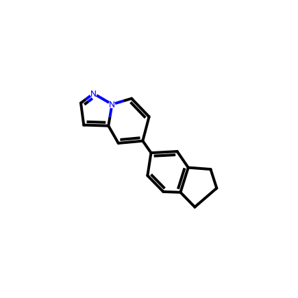 c1cc2cc(-c3ccc4c(c3)CCC4)ccn2n1